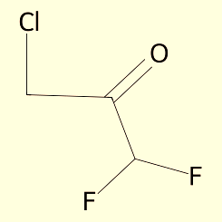 O=C(CCl)C(F)F